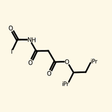 CC(C)CC(OC(=O)CC(=O)NC(=O)I)C(C)C